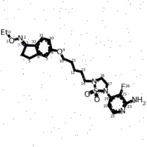 CCO/N=C1\CCc2cc(OCCCCCN3CCN(c4ccnc(N)c4F)S3(=O)=O)ccc21